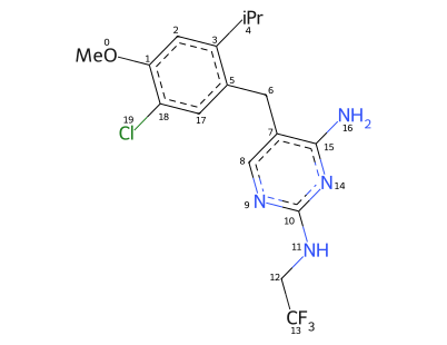 COc1cc(C(C)C)c(Cc2cnc(NCC(F)(F)F)nc2N)cc1Cl